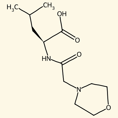 CC(C)C[C@H](NC(=O)CN1CCOCC1)C(=O)O